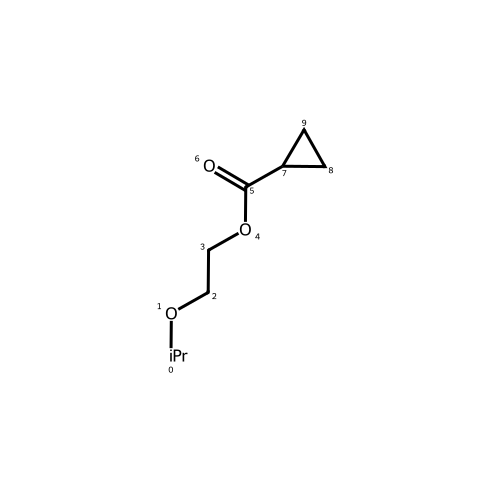 CC(C)OCCOC(=O)C1CC1